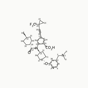 CN(C)Cc1ccnc(O[C@H]2CC[C@H](N(c3cc(C#CC4(C(F)(F)F)CC4)sc3C(=O)O)C(=O)[C@H]3CC[C@H](I)CC3)CC2)c1